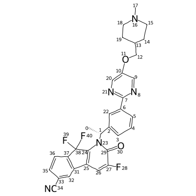 C[C@H](c1cccc(-c2ncc(OCC3CCN(C)CC3)cn2)c1)n1c2c(cc(F)c1=O)-c1cc(C#N)ccc1C2(F)F